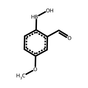 COc1ccc(BO)c(C=O)c1